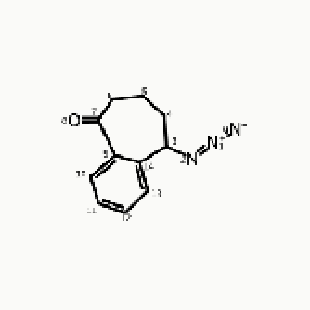 [N-]=[N+]=NC1CCCC(=O)c2ccccc21